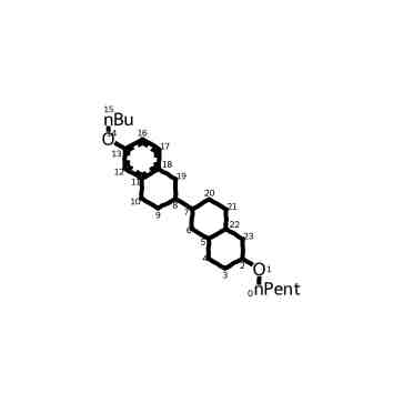 CCCCCOC1CCC2CC(C3CCc4cc(OCCCC)ccc4C3)CCC2C1